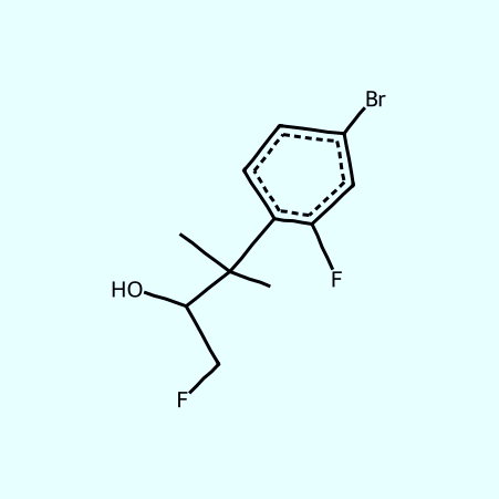 CC(C)(c1ccc(Br)cc1F)C(O)CF